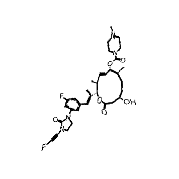 C/C(=C\c1cc(F)cc(N2CCN(C#CF)C2=O)c1)[C@H]1OC(=O)C[C@H](O)CC[C@H](C)[C@@H](OC(=O)N2CCN(C)CC2)/C=C/[C@@H]1C